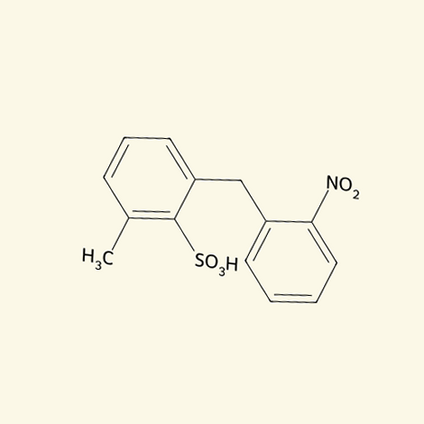 Cc1cccc(Cc2ccccc2[N+](=O)[O-])c1S(=O)(=O)O